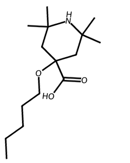 CCCCCOC1(C(=O)O)CC(C)(C)NC(C)(C)C1